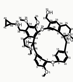 COc1ccc2cc1Oc1ccc(cc1)C[C@H]1c3cc(c(CO)cc3CCN1C)Oc1c(OC)c(OC)c(CNC3CC3)c3c1[C@H](C2)N(C)CC3